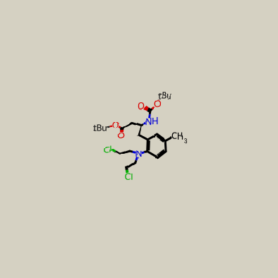 Cc1ccc(N(CCCl)CCCl)c(C[C@@H](CC(=O)OC(C)(C)C)NC(=O)OC(C)(C)C)c1